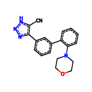 N#Cc1[nH]nnc1-c1cccc(-c2ccccc2N2CCOCC2)c1